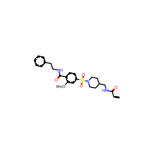 C=CC(=O)NCC1CCN(S(=O)(=O)c2ccc(C(=O)NCCc3ccccc3)c(OC)c2)CC1